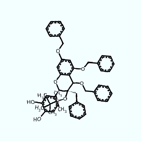 CC(C)(C)[Si](C)(C)O[C@]1(Cc2ccccc2)C(OCc2ccccc2)c2c(OCc3ccccc3)cc(OCc3ccccc3)cc2O[C@@H]1c1ccc(O)c(O)c1